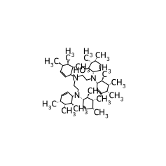 C[C@H]1[C@H](C)[C@@H](N(CCN([C@H]2C=C[C@@H](C)[C@@H](C)[C@@H]2C)[C@H]2C=C[C@@H](C)[C@@H](C)[C@@H]2C)CCN([C@H]2C=C[C@@H](C)[C@@H](C)[C@@H]2C)[C@H]2C=C[C@@H](C)[C@@H](C)[C@@H]2O)C=C[C@H]1C